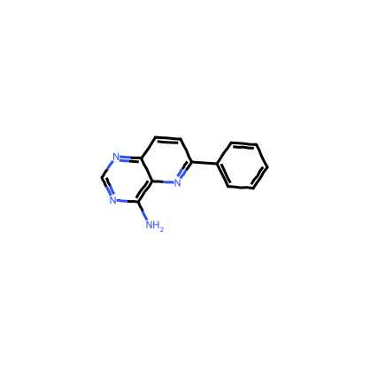 Nc1ncnc2ccc(-c3ccccc3)nc12